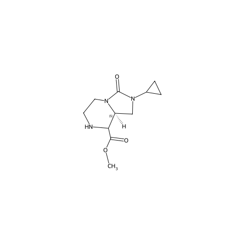 COC(=O)C1NCCN2C(=O)N(C3CC3)C[C@@H]12